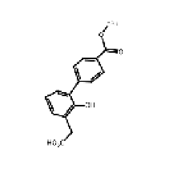 CC(C)(C)OC(=O)c1ccc(-c2cccc(CC(=O)O)c2O)cc1